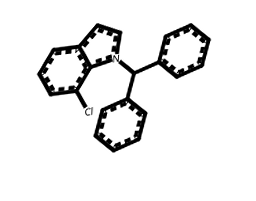 Clc1cccc2ccn(C(c3ccccc3)c3ccccc3)c12